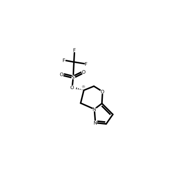 O=S(=O)(O[C@@H]1COc2ccnn2C1)C(F)(F)F